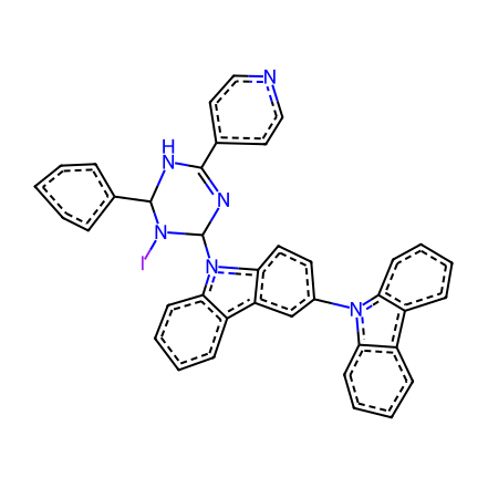 IN1C(c2ccccc2)NC(c2ccncc2)=NC1n1c2ccccc2c2cc(-n3c4ccccc4c4ccccc43)ccc21